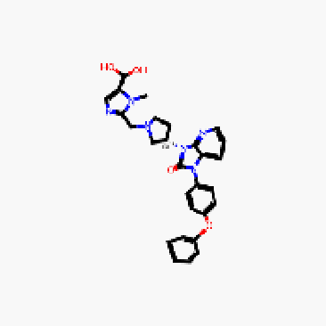 Cn1c(C(O)O)cnc1CN1CC[C@H](n2c(=O)n(-c3ccc(Oc4ccccc4)cc3)c3cccnc32)C1